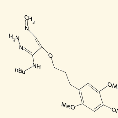 C=N/C=C(OCCCc1cc(OC)c(OC)cc1OC)\C(=N/N)NCCCC